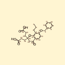 CCCc1c(OCc2ccccc2)ccc2c1OC(CCC(=O)O)(CCC(=O)O)CC2=O